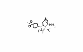 CC(C)C[C@@H](C(N)=O)N(CC#N)[C@@H](c1ccc(S(C)(=O)=O)cc1)C(F)(F)F